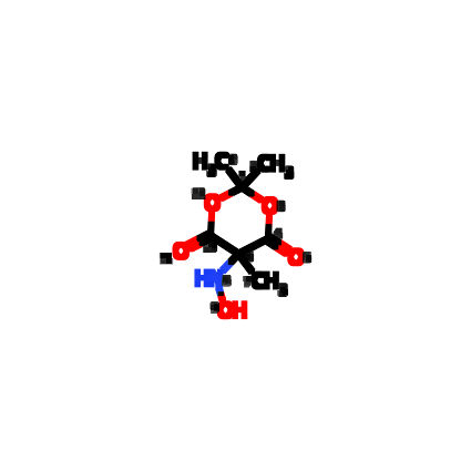 CC1(C)OC(=O)C(C)(NO)C(=O)O1